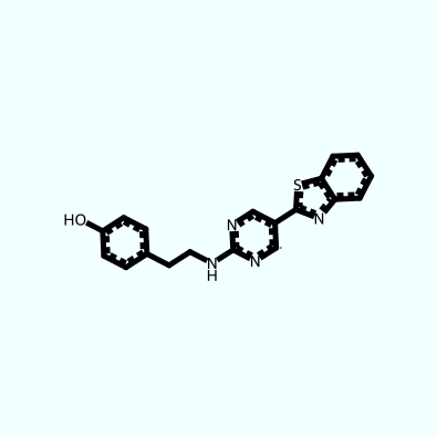 Oc1ccc(CCNc2n[c]c(-c3nc4ccccc4s3)cn2)cc1